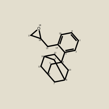 c1ccc(C23CC4CC(CC(C4)C2)C3)c(CC2CO2)c1